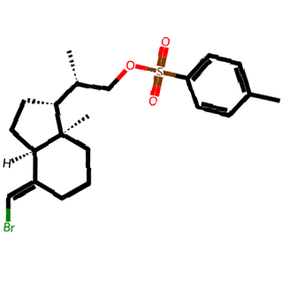 Cc1ccc(S(=O)(=O)OC[C@@H](C)[C@H]2CC[C@@H]3/C(=C/Br)CCC[C@@]32C)cc1